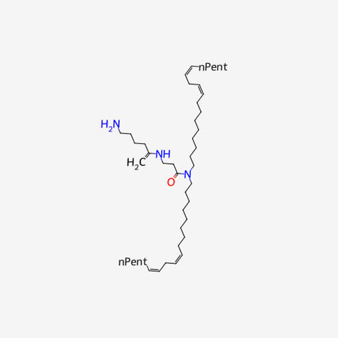 C=C(CCCCN)NCCC(=O)N(CCCCCCCC/C=C\C/C=C\CCCCC)CCCCCCCC/C=C\C/C=C\CCCCC